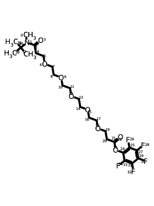 CN(C(=O)CCOCCOCCOCCOCCOCCC(=O)Oc1c(F)c(F)c(F)c(F)c1F)C(C)(C)C